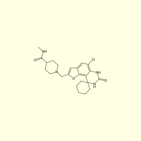 CNC(=O)C1CCN(Cc2cc3cc(Cl)c4c(c3o2)C2(CCCCC2)NC(=O)N4)CC1